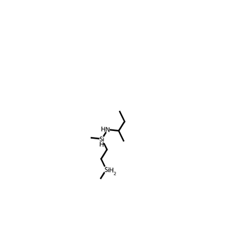 CCC(C)N[SiH](C)CC[SiH2]C